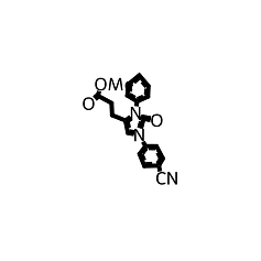 COC(=O)CCc1cn(-c2ccc(C#N)cc2)c(=O)n1-c1ccccc1